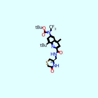 Cc1cc(C(=O)NC[C@@H]2CSCC(=O)N2)nc2c(C(C)(C)C)cc(N(CC(F)(F)F)C(=O)OC(C)(C)C)cc12